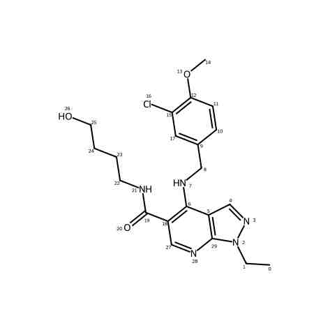 CCn1ncc2c(NCc3ccc(OC)c(Cl)c3)c(C(=O)NCCCCO)cnc21